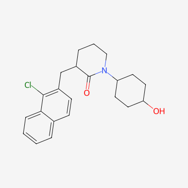 O=C1C(Cc2ccc3ccccc3c2Cl)CCCN1C1CCC(O)CC1